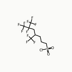 O=S(=O)(Cl)CCCC(CC(F)(C(F)(F)F)C(F)(F)F)C(F)(F)F